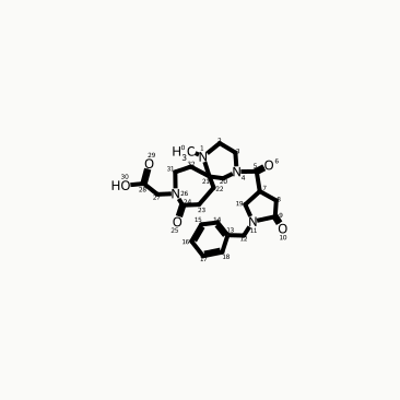 CN1CCN(C(=O)C2CC(=O)N(Cc3ccccc3)C2)CC12CCC(=O)N(CC(=O)O)CC2